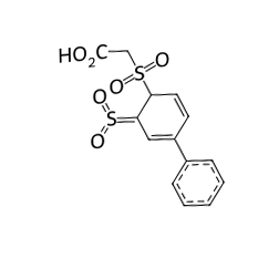 O=C(O)CS(=O)(=O)C1C=CC(c2ccccc2)=CC1=S(=O)=O